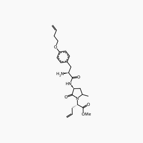 C=CCCOc1ccc(C[C@H](N)C(=O)N[C@H]2CC(C)N([C@@H](CC=C)C(=O)OC)C2=O)cc1